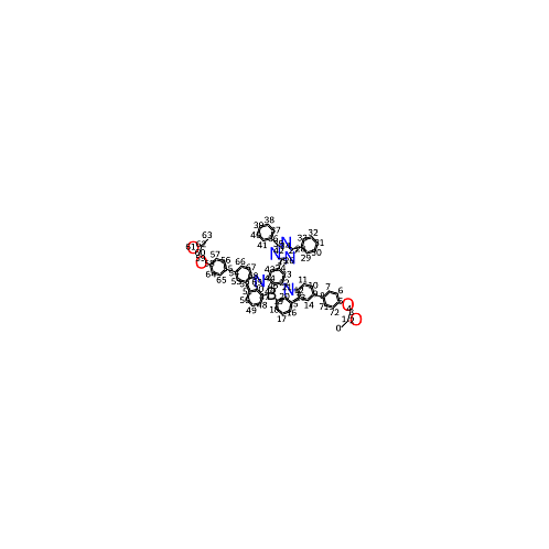 CC1OC1Oc1ccc(-c2ccc3c(c2)c2cccc4c2n3-c2cc(-c3nc(-c5ccccc5)nc(-c5ccccc5)n3)cc3c2B4c2cccc4c5cc(-c6ccc(OC7OC7C)cc6)ccc5n-3c24)cc1